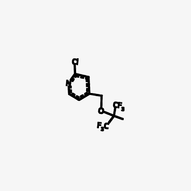 CC(OCc1ccnc(Cl)c1)(C(F)(F)F)C(F)(F)F